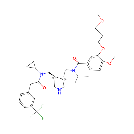 COCCCOc1cc(C(=O)N(C[C@@H]2CNC[C@H]2CN(C(=O)Cc2cccc(C(F)(F)F)c2)C2CC2)C(C)C)ccc1OC